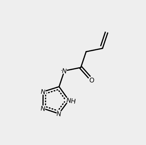 C=CCC(=O)[N]c1nnn[nH]1